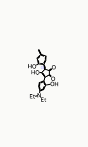 C=c1cc/c(=C2\C(=O)C(=O)C(c3ccc(N(CC)CC)cc3O)=C2O)c(O)c1